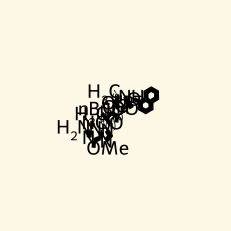 CCCCOC(=O)[C@H](C)NP(=O)(OC[C@H]1O[C@@H](n2cnc3c(OC)nc(N)nc32)[C@](C)(C#N)[C@@H]1O)Oc1cccc2ccccc12